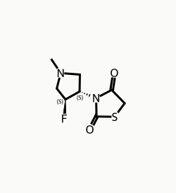 CN1C[C@H](F)[C@@H](N2C(=O)CSC2=O)C1